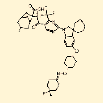 CC1CC2CC(C1)C(NC(=O)c1cnc(N3CC4(CCCCC4)c4cc(O[C@H]5CC[C@@H](ON=C6CCC(F)(F)CC6)CC5)ccc43)nc1C(F)(F)F)(C(=O)O)C2